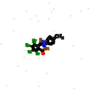 Cc1ccc(NC(=S)c2c(Br)c(Br)c(Br)c(Br)c2C(=O)S)cc1